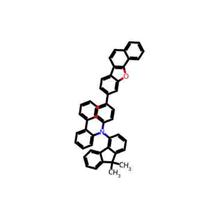 CC1(C)c2ccccc2-c2c(N(c3ccc(-c4ccc5c(c4)oc4c6ccccc6ccc54)cc3)c3ccccc3-c3ccccc3)cccc21